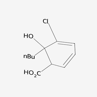 CCCCC1(O)C(Cl)=CC=CC1C(=O)O